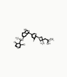 C[C@H](O)CC1(N)CN(c2ncc(-c3n[nH]c4ccc(O[C@H](C)c5c(Cl)cncc5Cl)cc34)cc2F)C1